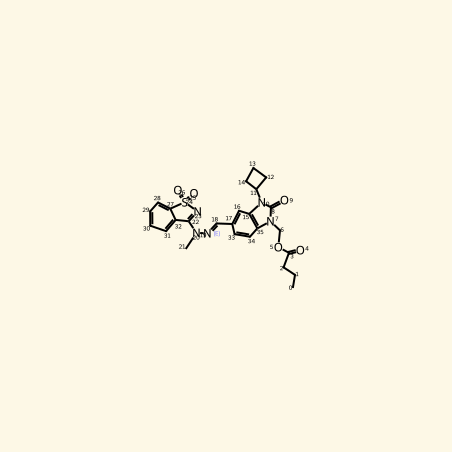 CCCC(=O)OCn1c(=O)n(C2CCC2)c2cc(/C=N/N(C)C3=NS(=O)(=O)c4ccccc43)ccc21